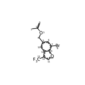 C=C(C)OCc1cc(Br)c2occ(C(F)(F)F)c2c1